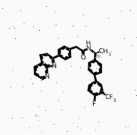 C[C@H](NC(=O)Cc1ccc(-c2ccc3cccnc3n2)cc1)c1ccc(-c2ccc(F)c(C(F)(F)F)c2)cc1